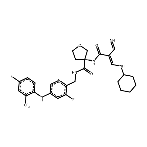 N=C/C(=C\NC1CCCCC1)C(=O)N[C@@]1(C(=O)NCc2ncc(Nc3ccc(F)cc3C(F)(F)F)cc2F)CCOC1